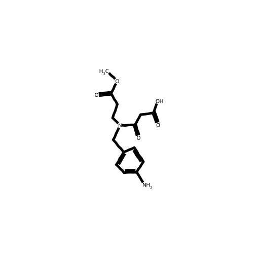 COC(=O)CCN(Cc1ccc(N)cc1)C(=O)CC(=O)O